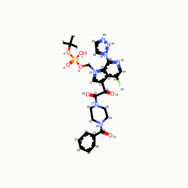 CC(C)(C)OP(=O)(O)OCn1cc(C(=O)C(=O)N2CCN(C(=O)c3ccccc3)CC2)c2c(F)cnc(-n3ccnn3)c21